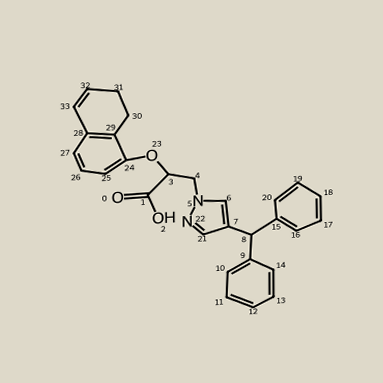 O=C(O)C(Cn1cc(C(c2ccccc2)c2ccccc2)cn1)Oc1cccc2c1CCC=C2